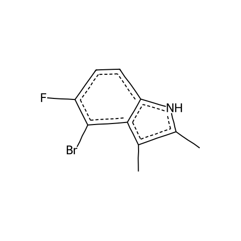 Cc1[nH]c2ccc(F)c(Br)c2c1C